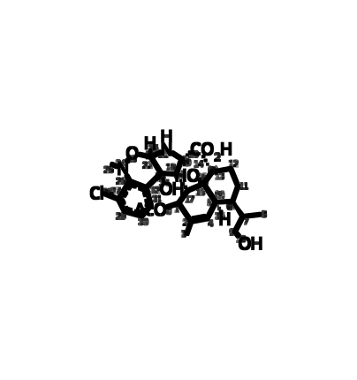 CC(=O)OC1C(C)=C[C@@H]2[C@H](C(C)CO)CC[C@@H](C)[C@]2(O)C1[C@H]1[C@@H](C(=O)O)N[C@@H]2ON(C)c3c(Cl)cccc3[C@@]21O